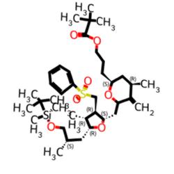 C=C1C(C[C@@H]2O[C@H](C[C@H](C)CO[Si](C)(C)C(C)(C)C)[C@H](C)[C@H]2CS(=O)(=O)c2ccccc2)O[C@@H](CCCOC(=O)C(C)(C)C)C[C@H]1C